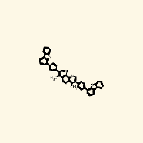 Cc1c(-c2ccc(-c3cccc4c3sc3ccccc34)cc2)cnc2c1ccc1c(C)c(-c3ccc(-c4cccc5c4sc4ccccc45)cc3)cnc12